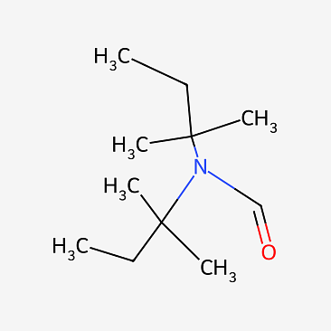 CCC(C)(C)N(C=O)C(C)(C)CC